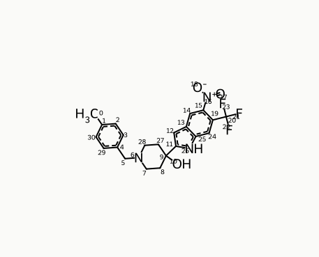 Cc1ccc(CN2CCC(O)(c3cc4cc([N+](=O)[O-])c(C(F)(F)F)cc4[nH]3)CC2)cc1